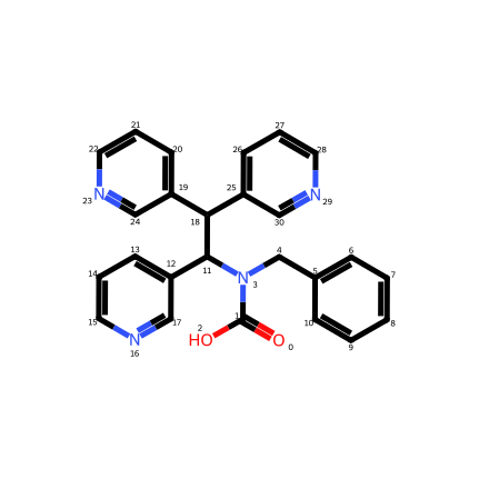 O=C(O)N(Cc1ccccc1)C(c1cccnc1)C(c1cccnc1)c1cccnc1